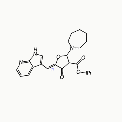 CC(C)OC(=O)C1C(=O)/C(=C/c2c[nH]c3ncccc23)OC1N1CCCCCC1